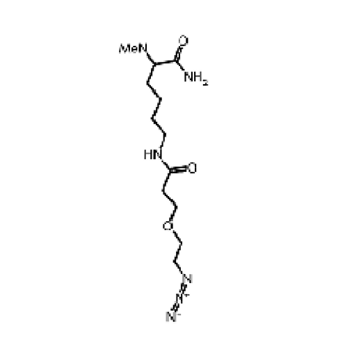 CNC(CCCCNC(=O)CCOCCN=[N+]=[N-])C(N)=O